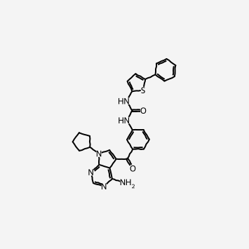 Nc1ncnc2c1c(C(=O)c1cccc(NC(=O)Nc3ccc(-c4ccccc4)s3)c1)cn2C1CCCC1